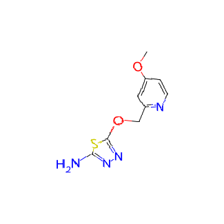 COc1ccnc(COc2nnc(N)s2)c1